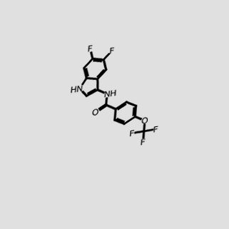 O=C(Nc1c[nH]c2cc(F)c(F)cc12)c1ccc(OC(F)(F)F)cc1